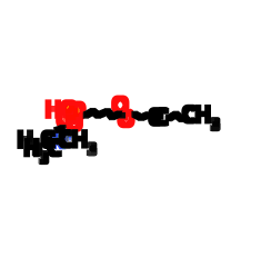 CCCCCCCCCOC(=O)CCCCCOP(=O)(O)OCC[N+](C)(C)C